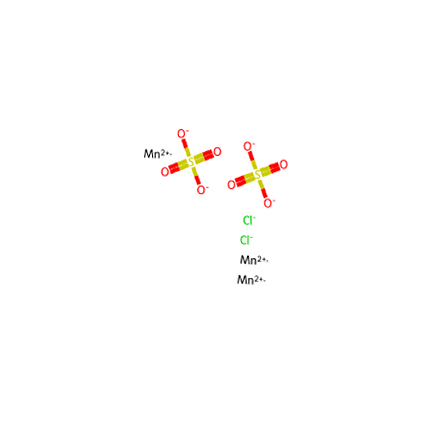 O=S(=O)([O-])[O-].O=S(=O)([O-])[O-].[Cl-].[Cl-].[Mn+2].[Mn+2].[Mn+2]